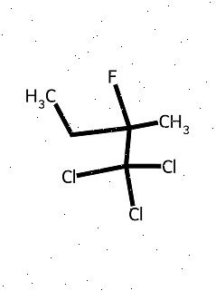 CCC(C)(F)C(Cl)(Cl)Cl